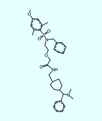 COc1cc(C)c(S(=O)(=O)N(CCOCC(=O)NCC2CCC(C(c3ccccc3)N(C)C)CC2)Cc2ccccc2)c(C)c1